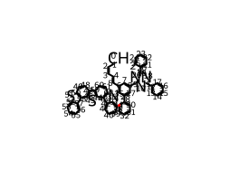 C=C/C=C\C=C\c1cc(-c2nc(-c3ccccc3)nc(-c3ccccc3)n2)cc(-c2ccccc2)c1-n1c2ccccc2c2c3sc4c(ccc5sc6ccccc6c54)c3ccc21